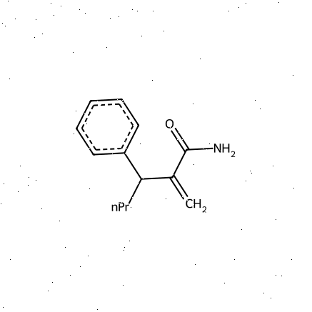 C=C(C(N)=O)C(CCC)c1ccccc1